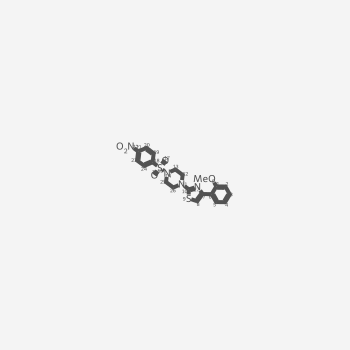 COc1ccccc1-c1csc(N2CCN(S(=O)(=O)c3ccc([N+](=O)[O-])cc3)CC2)n1